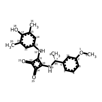 COc1cccc([C@@H](C)Nc2c(Nc3cc(C)c(O)c(C)c3)c(=O)c2=O)c1